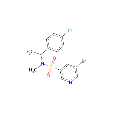 CN(C(c1ccc(Cl)cc1)C(F)(F)F)S(=O)(=O)c1cncc(Br)c1